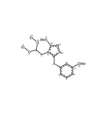 CCOC(Cn1c(Cc2cccc(OC)c2)nnc1SC)OCC